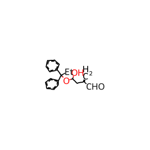 C=C(C=O)CC(O)OC(CC)(c1ccccc1)c1ccccc1